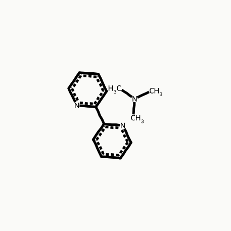 CN(C)C.c1ccc(-c2ccccn2)nc1